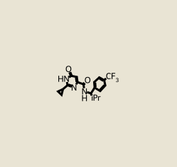 CC(C)C(NC(=O)c1cc(=O)[nH]c(C2CC2)n1)c1ccc(C(F)(F)F)cc1